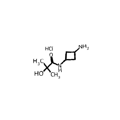 CC(C)(O)C(=O)NC1CC(N)C1.Cl